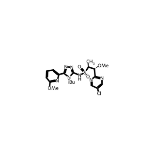 CC[C@H](C)n1c(NS(=O)(=O)[C@@H](C)[C@H](OC)c2ncc(Cl)cn2)nnc1-c1cccc(OC)n1